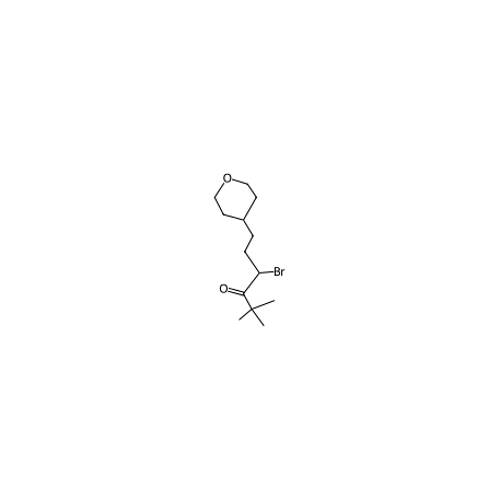 CC(C)(C)C(=O)C(Br)CCC1CCOCC1